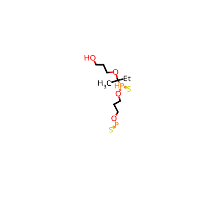 CCC(C)(OCCCO)[PH](=S)OCCCOP=S